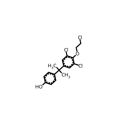 CC(C)(c1ccc(O)cc1)c1cc(Cl)c(OCCCl)c(Cl)c1